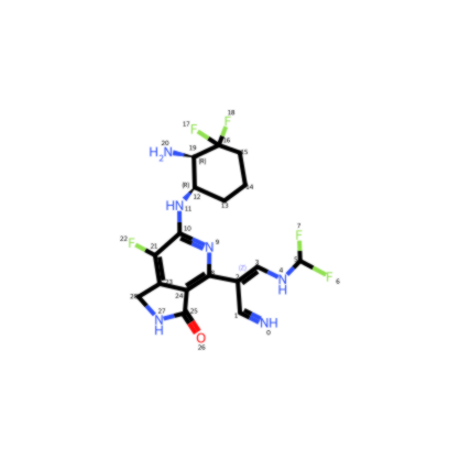 N=C/C(=C\NC(F)F)c1nc(N[C@@H]2CCCC(F)(F)[C@@H]2N)c(F)c2c1C(=O)NC2